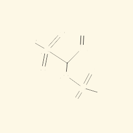 CS(=O)(=O)OC(P=O)S(C)(=O)=O